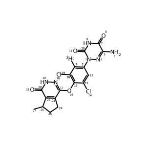 [2H]c1c(-n2nc(N)c(=O)[nH]c2=O)cc(Cl)c(Oc2n[nH]c(=O)c3c2CCC3C)c1Cl